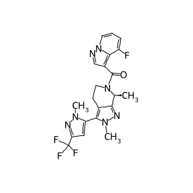 C[C@H]1c2nn(C)c(-c3cc(C(F)(F)F)nn3C)c2CCN1C(=O)c1cnn2cccc(F)c12